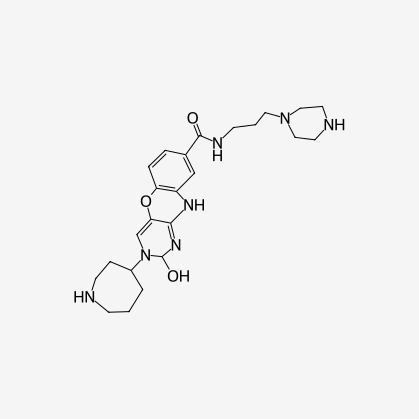 O=C(NCCCN1CCNCC1)c1ccc2c(c1)NC1=NC(O)N(C3CCCNCC3)C=C1O2